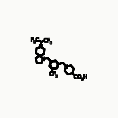 O=C(O)C1CCN(Cc2cc(CN3CCCC34CCN(C(C(F)(F)F)C(F)(F)F)CC4)cc(C(F)(F)F)c2)CC1